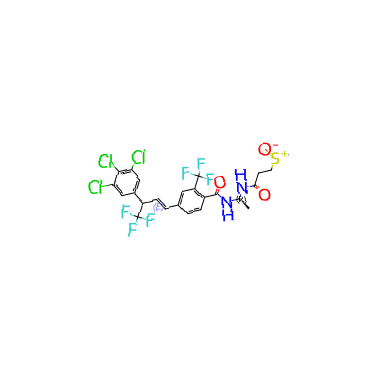 C[C@H](NC(=O)CC[S+](C)[O-])NC(=O)c1ccc(/C=C/C(c2cc(Cl)c(Cl)c(Cl)c2)C(F)(F)F)cc1C(F)(F)F